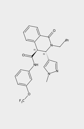 CC(C)CN1C(=O)c2ccccc2[C@H](C(=O)Nc2cccc(OC(F)(F)F)c2)[C@H]1c1cnn(C)c1